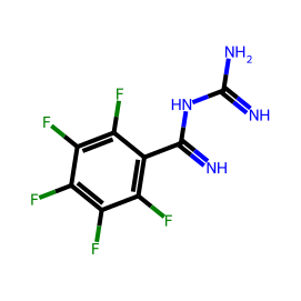 N=C(N)NC(=N)c1c(F)c(F)c(F)c(F)c1F